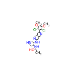 C=CC(O)N[C@H]1CCNC[C@H]1Nc1cc2cnc(-c3c(Cl)c(OC)cc(OC)c3Cl)cc2cn1